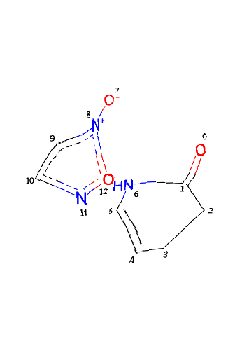 O=C1CCC=CN1.[O-][n+]1ccno1